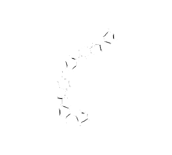 Cc1ccc(C(=O)NC2CCN(Cc3ccc(N4CCC(NC(=O)c5ccccc5)CC4)nc3)CC2)cc1-c1cccnc1